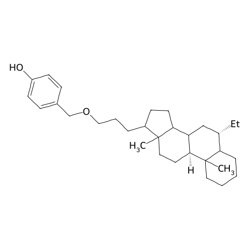 CC[C@H]1CC2C3CCC(CCCOCc4ccc(O)cc4)C3(C)CC[C@@H]2C2(C)CCCCC12